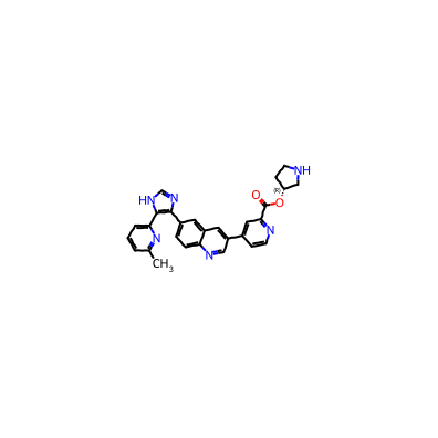 Cc1cccc(-c2[nH]cnc2-c2ccc3ncc(-c4ccnc(C(=O)O[C@@H]5CCNC5)c4)cc3c2)n1